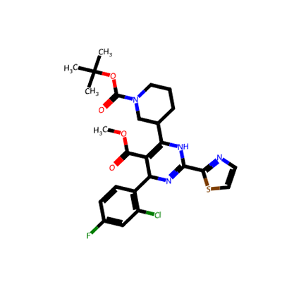 COC(=O)C1=C(C2CCCN(C(=O)OC(C)(C)C)C2)NC(c2nccs2)=NC1c1ccc(F)cc1Cl